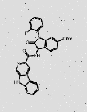 COc1ccc2c(c1)N(c1ccccc1F)C(=O)C2NC(=O)c1cc2c(cn1)[nH]c1ccccc12